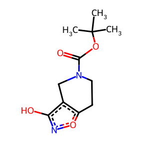 CC(C)(C)OC(=O)N1CCc2onc(O)c2C1